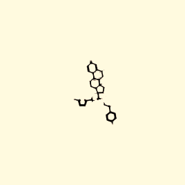 C[C@@H]1C[C@H]2[C@@H]3C[C@H](F)C4=CC(=O)C=C[C@]4(C)[C@@]3(F)[C@@H](O)C[C@]2(C)[C@@]1(OC(=O)c1ccc(Cl)s1)C(=O)SCC(=O)c1ccc(Cl)cc1